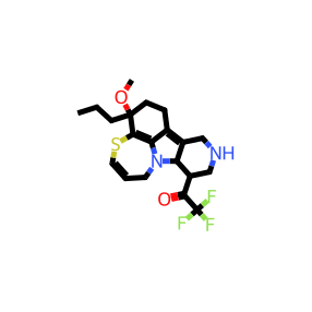 CCCC1(OC)CCC2=C3CNCC(C(=O)C(F)(F)F)C3N3CC=CSC1=C23